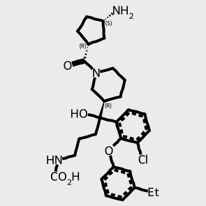 CCc1cccc(Oc2c(Cl)cccc2C(O)(CCCNC(=O)O)[C@@H]2CCCN(C(=O)[C@@H]3CC[C@H](N)C3)C2)c1